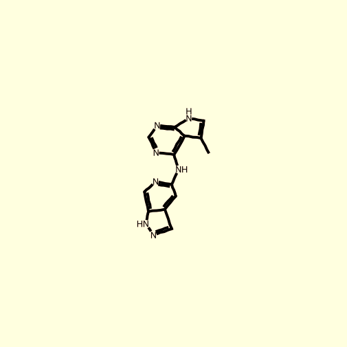 Cc1c[nH]c2ncnc(Nc3cc4cn[nH]c4cn3)c12